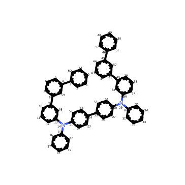 c1ccc(-c2cccc(-c3cccc(N(c4ccccc4)c4ccc(-c5ccc(N(c6ccccc6)c6cccc(-c7cccc(-c8ccccc8)c7)c6)cc5)cc4)c3)c2)cc1